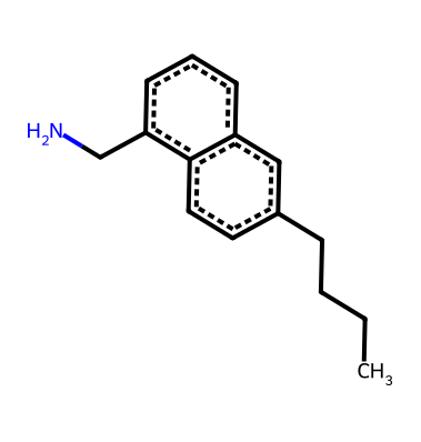 CCCCc1ccc2c(CN)cccc2c1